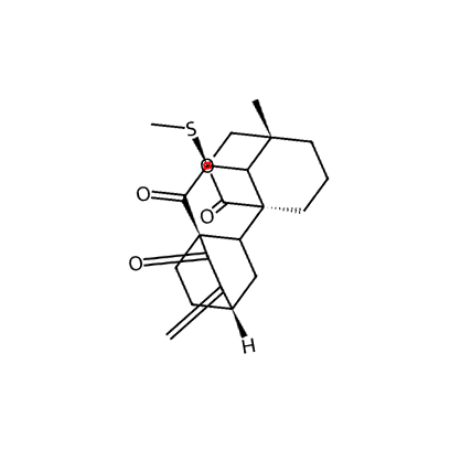 C=C1C(=O)[C@]23CC[C@H]1CC2[C@@]12CCC[C@@](C)(COC1=O)C2[C@H](SC)C3=O